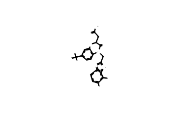 O=C(O)CC1Sc2cc(C(F)(F)F)ccc2N(Cc2nc3c(Cl)c(Cl)ccc3s2)C1=O